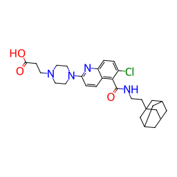 O=C(O)CCN1CCN(c2ccc3c(C(=O)NCCC45CC6CC(CC(C6)C4)C5)c(Cl)ccc3n2)CC1